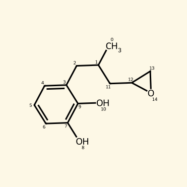 CC(Cc1cccc(O)c1O)CC1CO1